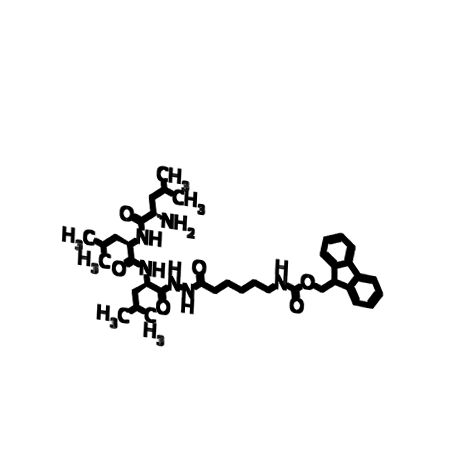 CC(C)C[C@H](N)C(=O)N[C@H](CC(C)C)C(=O)N[C@H](CC(C)C)C(=O)NNC(=O)CCCCCNC(=O)OCC1c2ccccc2-c2ccccc21